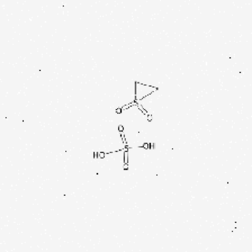 O=S(=O)(O)O.O=S1(=O)CC1